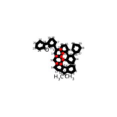 CC1(C)c2ccccc2-c2c(N(c3ccc(-c4cccc5c4oc4ccccc45)cc3)c3cccc(-c4ccccc4)c3-c3ccccc3-c3ccccc3)cccc21